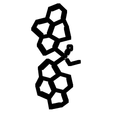 CCP(=O)(c1ccc2ccc3cccc4ccc1c2c34)c1ccc2ccc3cccc4ccc1c2c34